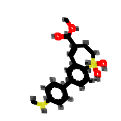 COC(=O)C1=Cc2cc(-c3ccc(SC)cc3)ccc2S(=O)(=O)CC1